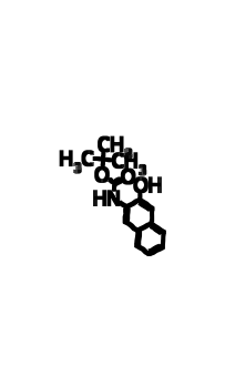 CC(C)(C)OC(=O)Nc1cc2ccccc2cc1O